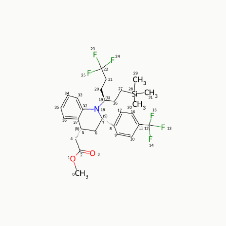 COC(=O)C[C@H]1C[C@@H](c2ccc(C(F)(F)F)cc2)N([C@@H](CCC(F)(F)F)CC[Si](C)(C)C)c2ccccc21